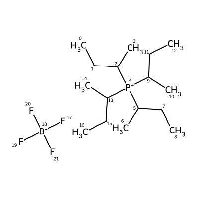 CCC(C)[P+](C(C)CC)(C(C)CC)C(C)CC.F[B-](F)(F)F